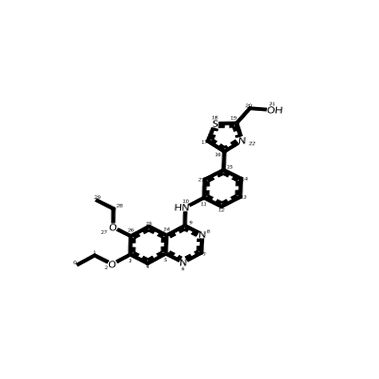 CCOc1cc2ncnc(Nc3cccc(-c4csc(CO)n4)c3)c2cc1OCC